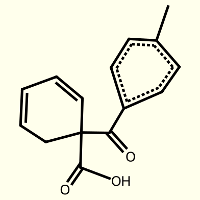 Cc1ccc(C(=O)C2(C(=O)O)C=CC=CC2)cc1